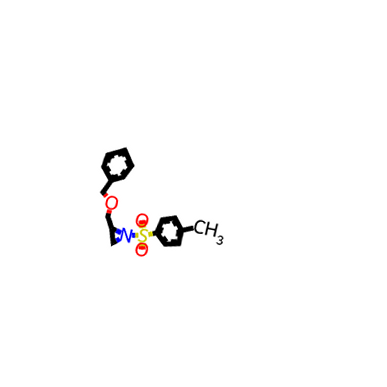 Cc1ccc(S(=O)(=O)N2CC2COCc2ccccc2)cc1